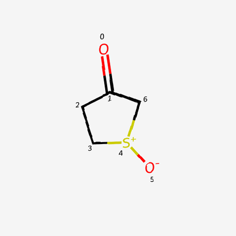 O=C1CC[S+]([O-])C1